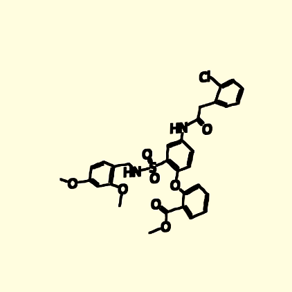 COC(=O)c1ccccc1Oc1ccc(NC(=O)Cc2ccccc2Cl)cc1S(=O)(=O)NCc1ccc(OC)cc1OC